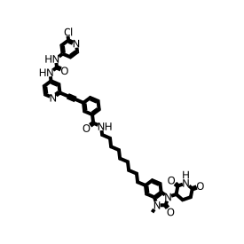 Cn1c(=O)n(C2CCC(=O)NC2=O)c2ccc(CCCCCCCCCNC(=O)c3cccc(C#Cc4cc(NC(=O)Nc5ccnc(Cl)c5)ccn4)c3)cc21